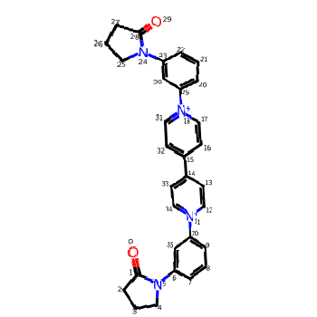 O=C1CCCN1c1cccc(-[n+]2ccc(-c3cc[n+](-c4cccc(N5CCCC5=O)c4)cc3)cc2)c1